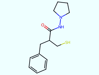 O=C(NN1CCCC1)C(CS)Cc1ccccc1